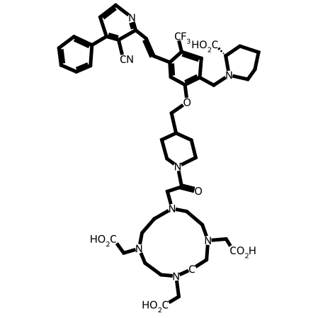 N#Cc1c(-c2ccccc2)ccnc1/C=C/c1cc(OCC2CCN(C(=O)CN3CCN(CC(=O)O)CCN(CC(=O)O)CCN(CC(=O)O)CC3)CC2)c(CN2CCCC[C@H]2C(=O)O)cc1C(F)(F)F